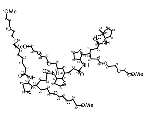 COCCOCCOCCCCCCC(=O)NC1CCSC1C(CCCOCCOCCOC)CCC(=O)NC1CCSC1C(CCCOCCOCCOC)CCC(=O)NC1CCSC1C(CCCOCCOCCOC)CCC(=O)NC1CCSC1(C)O